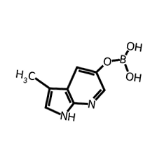 Cc1c[nH]c2ncc(OB(O)O)cc12